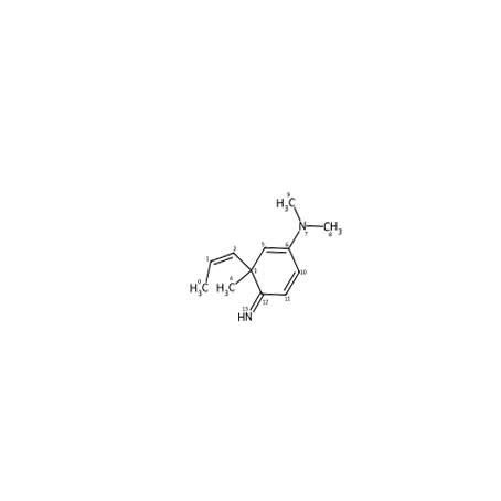 C/C=C\C1(C)C=C(N(C)C)C=CC1=N